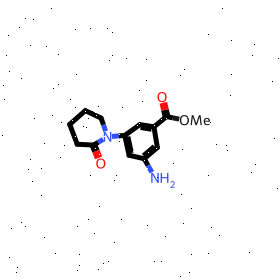 COC(=O)c1cc(N)cc(N2CCCCC2=O)c1